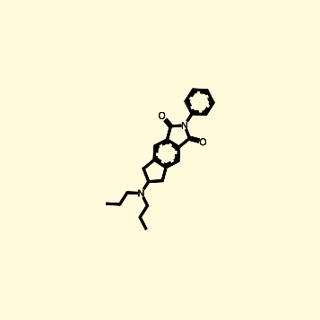 CCCN(CCC)C1Cc2cc3c(cc2C1)C(=O)N(c1ccccc1)C3=O